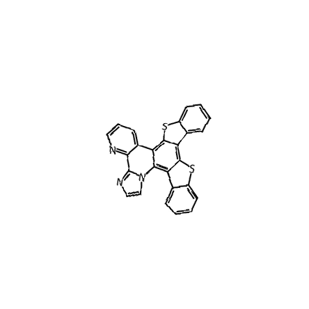 c1ccc2c(c1)sc1c2c2sc3ccccc3c2c2c1c1cccnc1c1nccn12